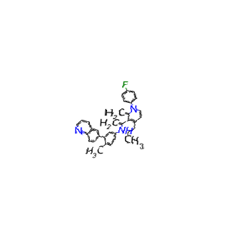 C=C(Nc1ccc(C)c(-c2ccc3ncccc3c2)c1)C1=C(CCC)C=CN(c2ccc(F)cc2)C1=C